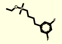 CCO[Si](C)(C)CCCCc1cc(F)cc(F)c1